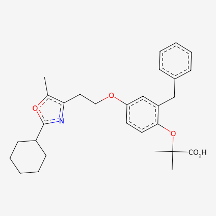 Cc1oc(C2CCCCC2)nc1CCOc1ccc(OC(C)(C)C(=O)O)c(Cc2ccccc2)c1